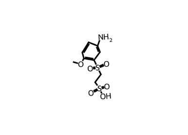 COc1ccc(N)cc1S(=O)(=O)CCS(=O)(=O)O